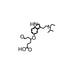 CCN(CCc1c[nH]c2ccc(OC(CC=O)CCC(=O)O)cc12)C(C)C